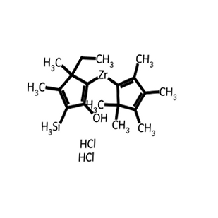 CCC1(C)C(C)=C([SiH3])C(O)=[C]1[Zr][C]1=C(C)C(C)=C(C)C1(C)C.Cl.Cl